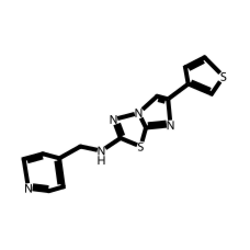 c1cc(CNc2nn3cc(-c4ccsc4)nc3s2)ccn1